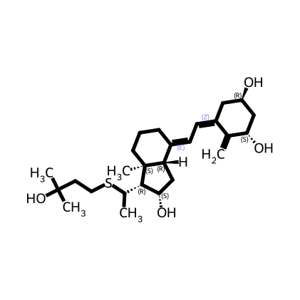 C=C1/C(=C\C=C2/CCC[C@@]3(C)[C@H]2C[C@H](O)[C@@H]3C(C)SCCC(C)(C)O)C[C@@H](O)C[C@@H]1O